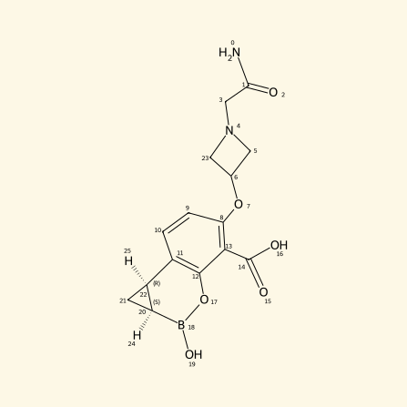 NC(=O)CN1CC(Oc2ccc3c(c2C(=O)O)OB(O)[C@H]2C[C@@H]32)C1